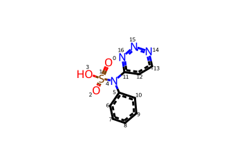 O=S(=O)(O)N(c1ccccc1)c1c[c]nnn1